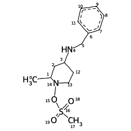 CC1CC(NCc2ccccc2)CCN1OS(C)(=O)=O